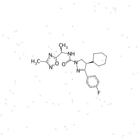 Cc1noc([C@@H](C)NC(=O)N2C[C@@H](C3CCCCC3)C(c3ccc(F)cc3)=N2)n1